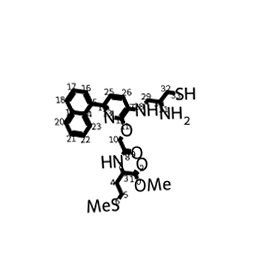 COC(=O)C(CCSC)NC(=O)COc1nc(-c2cccc3ccccc23)ccc1NCC(N)CS